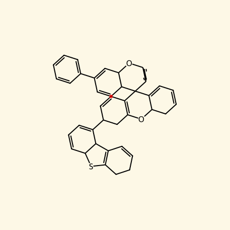 C1=CCC2OC3=C(C=CC(C4=CC=CC5SC6=C(C=CCC6)C45)C3)C3(C2=C1)C1C=CC=CC1OC1C=C(c2ccccc2)C=CC13